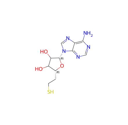 Nc1ncnc2c1ncn2[C@@H]1O[C@H](CCS)C(O)C1O